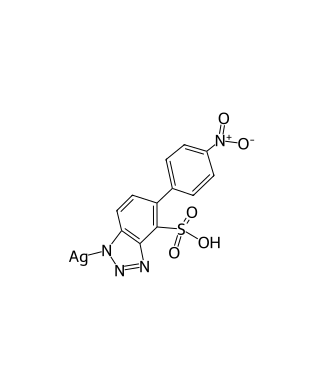 O=[N+]([O-])c1ccc(-c2ccc3c(nn[n]3[Ag])c2S(=O)(=O)O)cc1